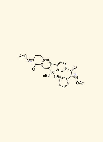 CCCCC1(CCCC)c2cc(C(=O)/C(=N/OC(C)=O)c3ccccc3)ccc2-c2cc3c(cc21)C(=O)/C(=N/OC(C)=O)CC3